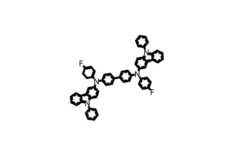 FC1=CC=C(N(c2ccc(-c3ccc(N(c4ccc(F)cc4)c4ccc5c(c4)c4ccccc4n5-c4ccccc4)cc3)cc2)c2ccc3c(c2)c2ccccc2n3-c2ccccc2)CC1